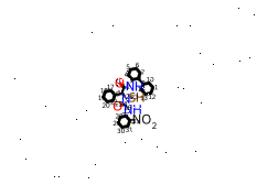 O=C(Nc1ccccc1-c1ccccc1)C(c1ccccc1)N(S)C(=O)Nc1ccccc1[N+](=O)[O-]